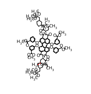 CCN(C(=O)C(CC(C)C)N1C(=O)c2cc(Oc3cccc(C(=O)OC)c3)c3c4c(Oc5cccc(C(=O)OC)c5)cc5c6c(cc(Oc7cccc(C(=O)OC)c7)c(c7c(Oc8cccc(C(=O)OC)c8)cc(c2c37)C1=O)c64)C(=O)N(C(CC(C)C)C(=O)N(CC)C1CCCC(C[Si](OC)(OC)OC)C1)C5=O)C1CCCC(C[Si](OC)(OC)OC)C1